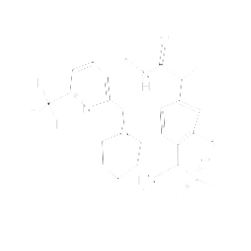 CC(C(=O)NCc1ccc(C(F)(F)F)nc1CN1CCCCC1)c1ccc(C(N)S(C)(=O)=O)c(F)c1